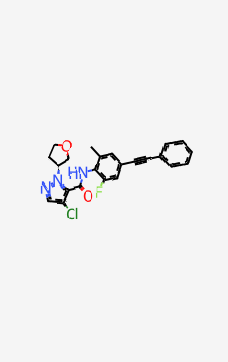 Cc1cc(C#Cc2ccccc2)cc(F)c1NC(=O)c1c(Cl)cnn1[C@H]1CCOC1